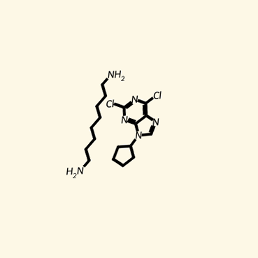 Clc1nc(Cl)c2ncn(C3CCCC3)c2n1.NCCCCCCCCN